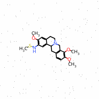 COc1cc2c(cc1NSC)C1Cc3ccc(OC)c(OC)c3CN1CC2